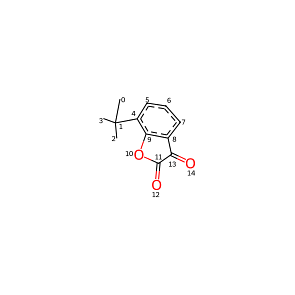 CC(C)(C)c1cccc2c1OC(=O)C2=O